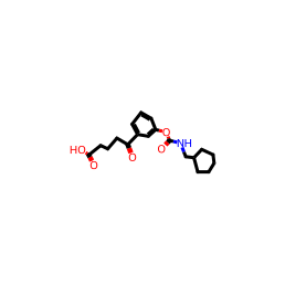 O=C(O)CCCC(=O)c1cccc(OC(=O)NCC2CCCCC2)c1